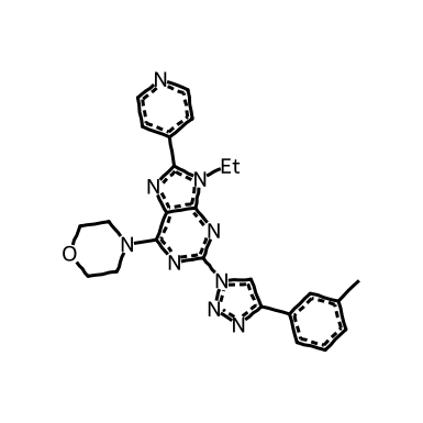 CCn1c(-c2ccncc2)nc2c(N3CCOCC3)nc(-n3cc(-c4cccc(C)c4)nn3)nc21